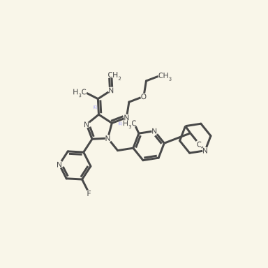 C=N/C(C)=C1/N=C(c2cncc(F)c2)N(Cc2ccc(C3CN4CCC3CC4)nc2C)/C1=N/COCC